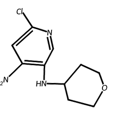 Nc1cc(Cl)ncc1NC1CCOCC1